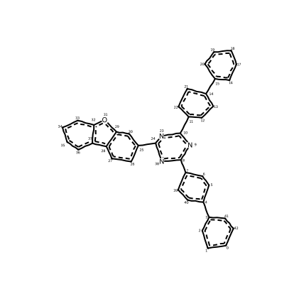 c1ccc(-c2ccc(-c3nc(-c4ccc(-c5ccccc5)cc4)nc(-c4ccc5c(c4)oc4ccccc45)n3)cc2)cc1